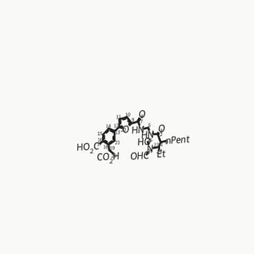 CCCCCC(C(=O)NCNC(=O)c1ccc(-c2ccc(C(=O)O)c(CC(=O)O)c2)o1)C(CC)N(O)C=O